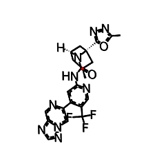 Cc1nnc([C@@]23C[C@@H](C)C[C@@H](C2)N3C(=O)Nc2cc(-c3cn4ncnc4cn3)c(C(F)(F)F)cn2)o1